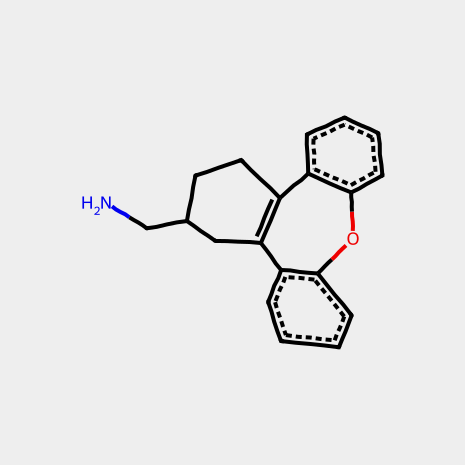 NCC1CCC2=C(C1)c1ccccc1Oc1ccccc12